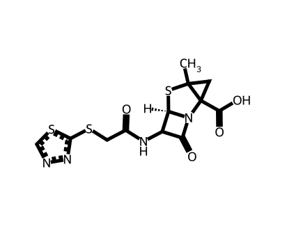 CC12CC1(C(=O)O)N1C(=O)C(NC(=O)CSc3nncs3)[C@H]1S2